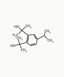 CC(C)c1ccc(C(C)(C)O)c(C(C)(C)O)c1